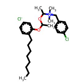 CCCCCCCCc1ccccc1OC(C)OC(C)[N+](C)(C)Cc1ccc(Cl)cc1.[Cl-]